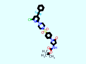 CC(C)(C)OC(=O)NC1CC(=O)N(c2ccc(S(=O)(=O)N3CCN(c4cc(C(F)(F)c5ccccc5)cc(Cl)n4)CC3)cc2)C1